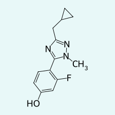 Cn1nc(CC2CC2)nc1-c1ccc(O)cc1F